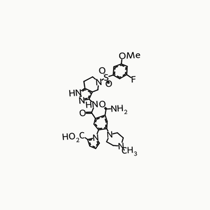 COc1cc(F)cc(S(=O)(=O)N2CCc3[nH]nc(NC(=O)c4cc(-n5cccc5C(=O)O)c(N5CCN(C)CC5)cc4C(N)=O)c3C2)c1